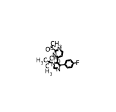 C[S+]([O-])c1nccc(-c2c(-c3ccc(F)cc3)ncn2C(C)(C)C)n1